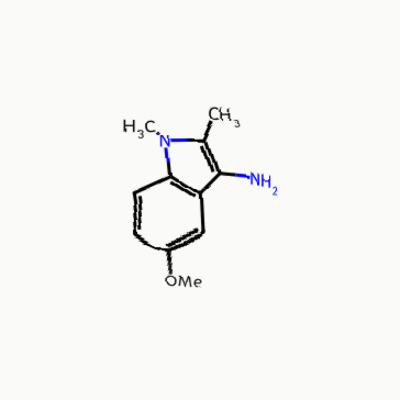 COc1ccc2c(c1)c(N)c(C)n2C